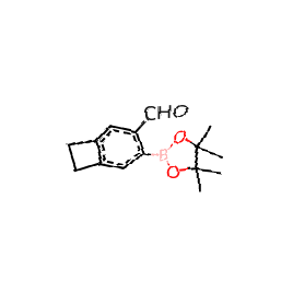 CC1(C)OB(c2cc3c(cc2C=O)CC3)OC1(C)C